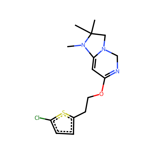 CN1C2=CC(OCCc3ccc(Cl)s3)=NCN2CC1(C)C